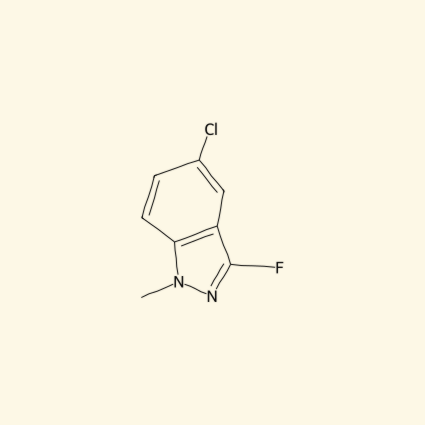 Cn1nc(F)c2cc(Cl)ccc21